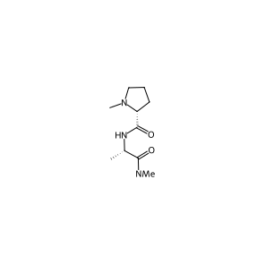 CNC(=O)[C@H](C)NC(=O)[C@H]1CCCN1C